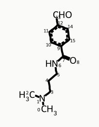 CN(C)CCCNC(=O)c1ccc(C=O)cc1